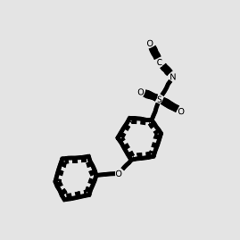 O=C=NS(=O)(=O)c1ccc(Oc2ccccc2)cc1